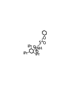 CC(C)c1cc(C(C)C)c(S(=O)(=O)NCCSC(=O)COc2ccccc2)c(C(C)C)c1